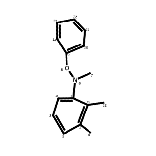 Cc1cccc(N(C)Oc2ccccc2)c1C